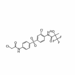 CC(O)(C(=O)Nc1ccc(S(=O)(=O)c2ccc(NC(=O)CCl)cc2)cc1Cl)C(F)(F)F